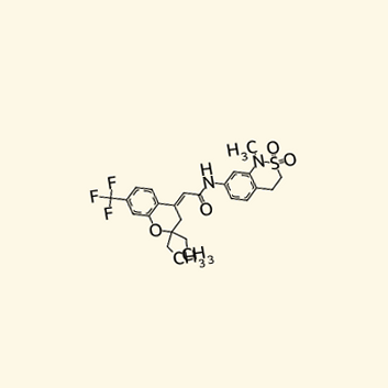 CCC1(CC)CC(=CC(=O)Nc2ccc3c(c2)N(C)S(=O)(=O)CC3)c2ccc(C(F)(F)F)cc2O1